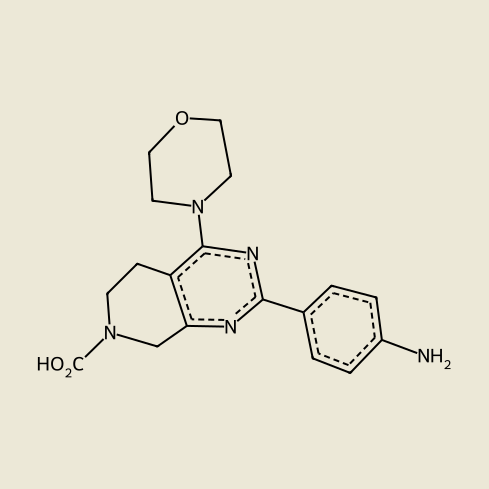 Nc1ccc(-c2nc3c(c(N4CCOCC4)n2)CCN(C(=O)O)C3)cc1